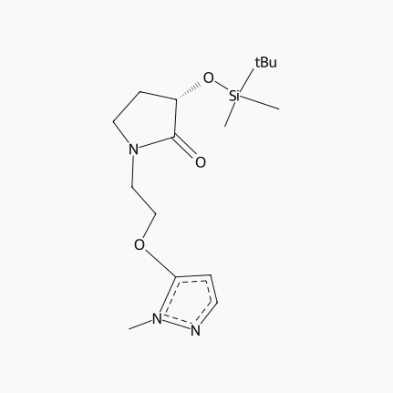 Cn1nccc1OCCN1CC[C@H](O[Si](C)(C)C(C)(C)C)C1=O